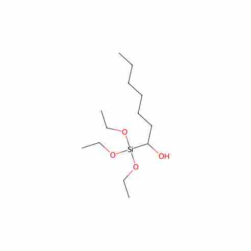 CCCCCCC(O)[Si](OCC)(OCC)OCC